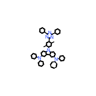 Cc1cc(-n2c3ccc(N(c4ccccc4)c4ccccc4)cc3c3cc(N(c4ccccc4)C4C=CC=CC=C4)ccc32)c(C)cc1-c1nc(-c2ccccc2)nc(-c2ccccc2)n1